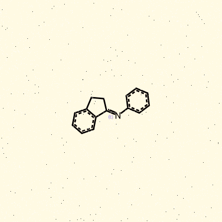 c1ccc(/N=C2\CCc3ccccc32)cc1